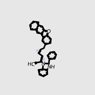 C#C/C(=C\C=C/Cc1ccc2oc3cc4ccccc4cc3c2c1)N1c2ccccc2NC1c1ccccc1